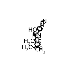 C=C(c1cnc(-c2ccc(-n3ccnc3)cc2O)nn1)[C@@H]1C[C@](C)(CCC)[C@@H](F)C[C@H]1F